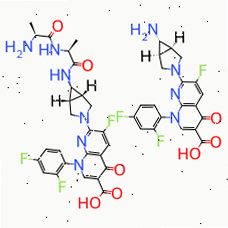 C[C@H](N)C(=O)N[C@@H](C)C(=O)N[C@H]1[C@@H]2CN(c3nc4c(cc3F)c(=O)c(C(=O)O)cn4-c3ccc(F)cc3F)C[C@@H]21.N[C@@H]1[C@H]2CN(c3nc4c(cc3F)c(=O)c(C(=O)O)cn4-c3ccc(F)cc3F)C[C@@H]12